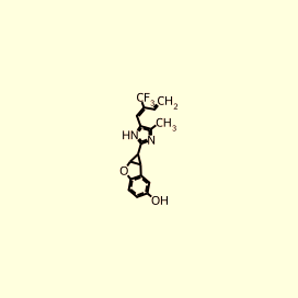 C=C/C(=C\c1[nH]c(C2C3Oc4ccc(O)cc4C32)nc1C)C(F)(F)F